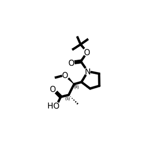 CO[C@@H](C1CCCN1C(=O)OC(C)(C)C)[C@H](C)C(=O)O